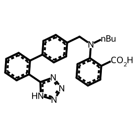 CCCCN(Cc1ccc(-c2ccccc2-c2nnn[nH]2)cc1)c1ccccc1C(=O)O